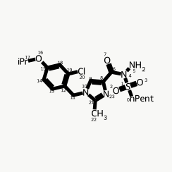 CCCCCS(=O)(=O)N(N)C(=O)c1cn(Cc2ccc(OC(C)C)cc2Cl)c(C)n1